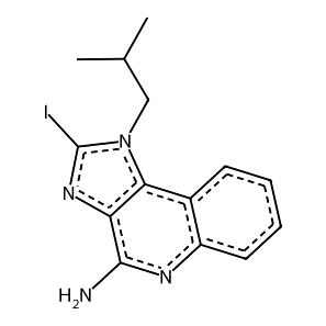 CC(C)Cn1c(I)nc2c(N)nc3ccccc3c21